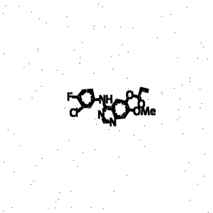 C=CC(=O)Oc1cc2c(Nc3ccc(F)c(Cl)c3)ncnc2cc1OC